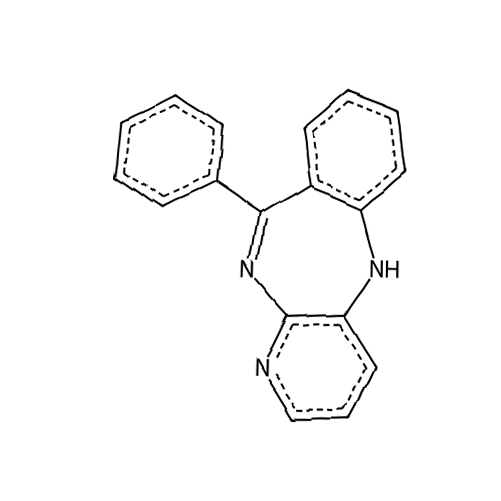 c1ccc(C2=Nc3ncccc3Nc3ccccc32)cc1